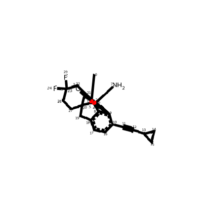 CN1C(=O)C2(N=C1N)c1cc(C#CC3CC3)ccc1CC21CCC(F)(F)CC1